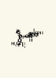 CC(C)(C)c1ccc(-n2nc(-c3ccncc3)cc2CCCOCC(=O)N[C@@H](Cc2ccc(O)cc2)C(N)=O)cc1